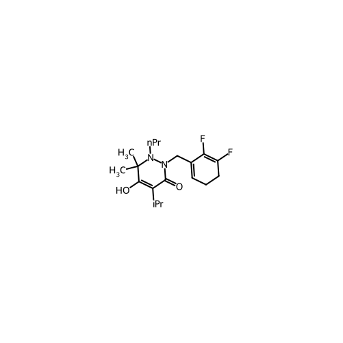 CCCN1N(CC2=CCCC(F)=C2F)C(=O)C(C(C)C)=C(O)C1(C)C